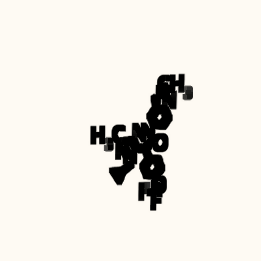 Cc1nn(CC2CC2)c2c(-c3ccc(OC(F)F)cc3)c(=O)n(-c3ccc4nn(C)cc4c3)nc12